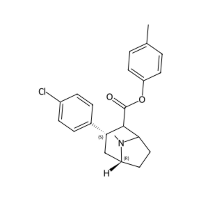 Cc1ccc(OC(=O)C2C3CC[C@H](C[C@@H]2c2ccc(Cl)cc2)N3C)cc1